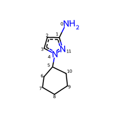 Nc1ccn(C2CCCCC2)n1